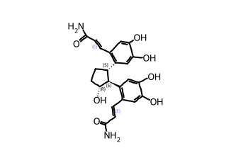 NC(=O)/C=C/c1cc(O)c(O)cc1[C@H]1[C@H](O)CC[C@@H]1c1cc(O)c(O)cc1/C=C/C(N)=O